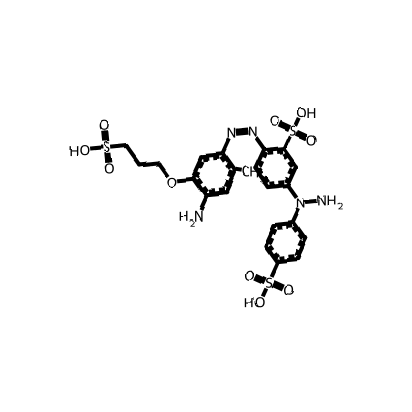 Cc1cc(N)c(OCCCS(=O)(=O)O)cc1/N=N\c1ccc(N(N)c2ccc(S(=O)(=O)O)cc2)cc1S(=O)(=O)O